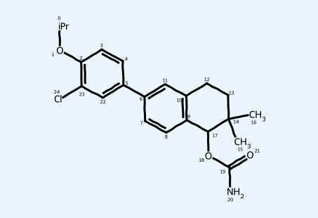 CC(C)Oc1ccc(-c2ccc3c(c2)CCC(C)(C)C3OC(N)=O)cc1Cl